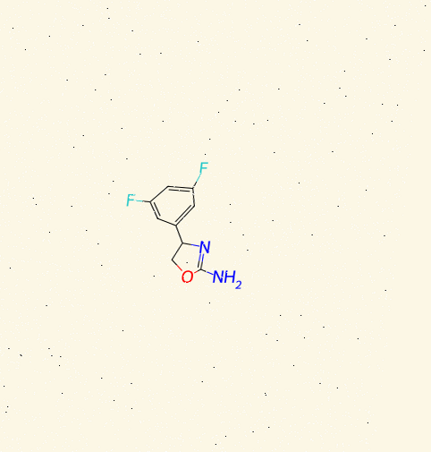 NC1=NC(c2cc(F)cc(F)c2)CO1